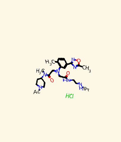 CC(=O)N1CCC(N(C)C(=O)CN(CC(=O)NCCNC(C)C)c2cc(-c3noc(C)n3)ccc2C)CC1.Cl